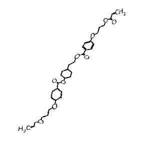 C=CCOCCCOC1CCC(C(=O)OC2CCC(CCOC(=O)c3ccc(OCCCOC(=O)C=C)cc3)CC2)CC1